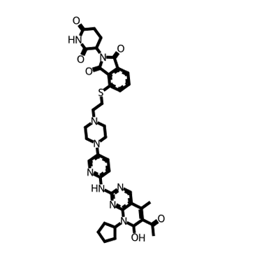 CC(=O)C1=C(C)c2cnc(Nc3ccc(N4CCN(CCSc5cccc6c5C(=O)N(C5CCC(=O)NC5=O)C6=O)CC4)cn3)nc2N(C2CCCC2)C1O